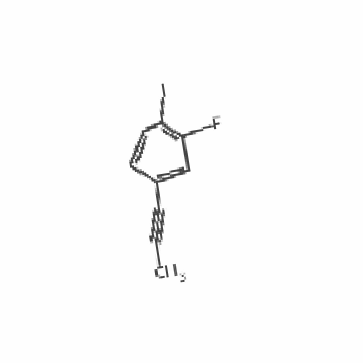 CC#Cc1ccc(I)c(F)c1